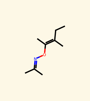 CC/C(C)=C(\C)ON=C(C)C